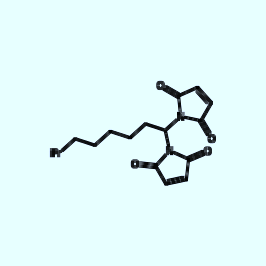 CC(C)CCCCCC(N1C(=O)C=CC1=O)N1C(=O)C=CC1=O